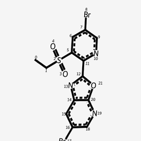 CCS(=O)(=O)c1cc(Br)cnc1-c1nc2cc(Br)cnc2o1